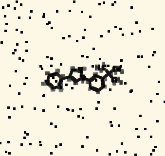 CC(C)(C)c1cccc(-n2cc(-c3ccncn3)cn2)c1